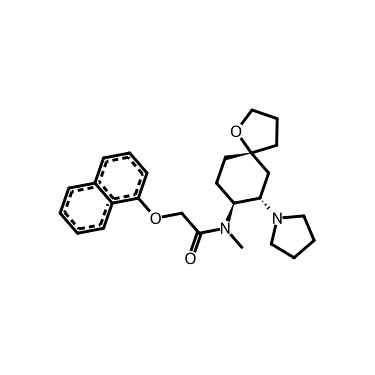 CN(C(=O)COc1cccc2ccccc12)[C@H]1CC[C@@]2(CCCO2)C[C@@H]1N1CCCC1